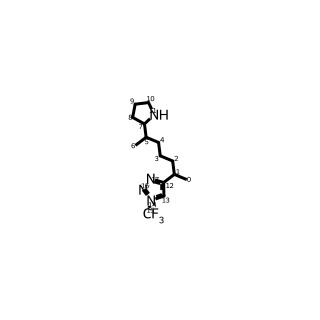 CC(CCCC(C)C1CCCN1)c1cn(C(F)(F)F)nn1